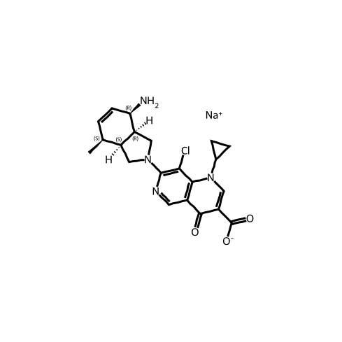 C[C@H]1C=C[C@@H](N)[C@H]2CN(c3ncc4c(=O)c(C(=O)[O-])cn(C5CC5)c4c3Cl)C[C@H]21.[Na+]